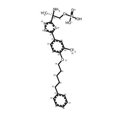 C[C@](N)(COP(=O)(O)O)c1nnc(-c2ccc(OCCCCCc3ccccc3)c(C(F)(F)F)c2)s1